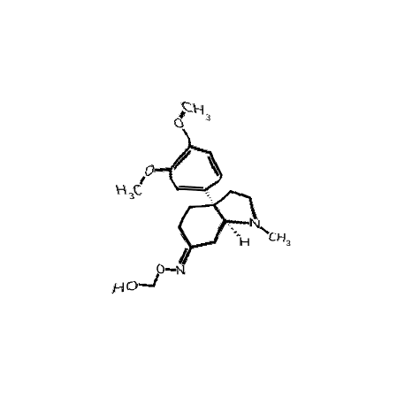 COc1ccc([C@@]23CC/C(=N\OCO)C[C@@H]2N(C)CC3)cc1OC